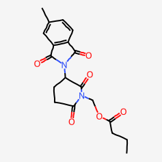 CCCC(=O)OCN1C(=O)CCC(N2C(=O)c3ccc(C)cc3C2=O)C1=O